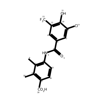 Cc1c(NC(=O)c2cc(Cl)c(O)c(C(F)(F)F)c2)ccc(C(=O)O)c1C